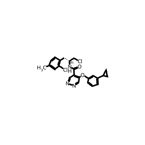 Cc1ccc(C[C@H](CCl)NC(=O)c2cnncc2Oc2cccc(C3CC3)c2)c(Cl)c1